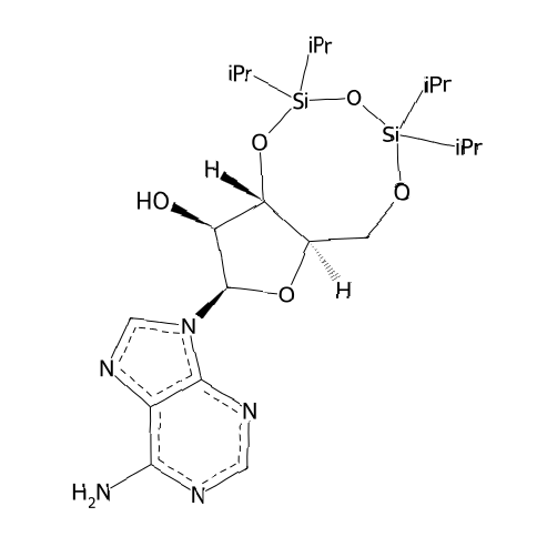 CC(C)[Si]1(C(C)C)OC[C@H]2O[C@@H](n3cnc4c(N)ncnc43)[C@@H](O)[C@@H]2O[Si](C(C)C)(C(C)C)O1